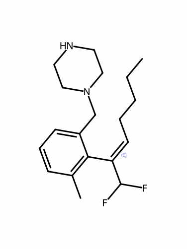 CCCC/C=C(\c1c(C)cccc1CN1CCNCC1)C(F)F